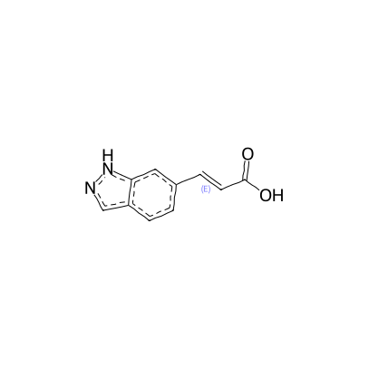 O=C(O)/C=C/c1ccc2cn[nH]c2c1